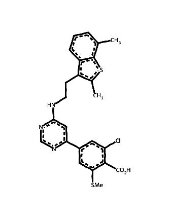 CSc1cc(-c2cc(NCCc3c(C)sc4c(C)cccc34)ncn2)cc(Cl)c1C(=O)O